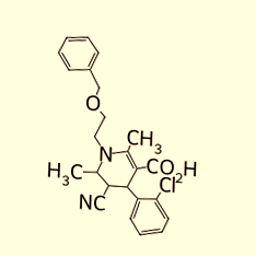 CC1=C(C(=O)O)C(c2ccccc2Cl)C(C#N)C(C)N1CCOCc1ccccc1